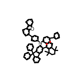 CC1(C)CCC(C)(C)c2c(-c3cc4c(cc3N(c3ccc(-c5ccccc5)cc3)c3ccc(-c5cccc6c5oc5ccccc56)cc3)C(c3ccccc3)(c3ccccc3)c3ccccc3-4)cccc21